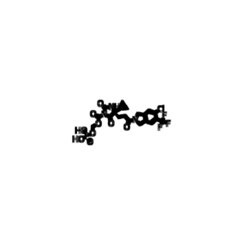 O=C(CC[C@]1(C2CC2)NC(=O)N(C(=O)OCOP(=O)(O)O)C1=O)N1Cc2cc(Cl)c(C(F)(F)F)cc2C1